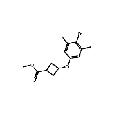 COC(=O)[C@H]1C[C@@H](Oc2cc(C)c(Br)c(C)c2)C1